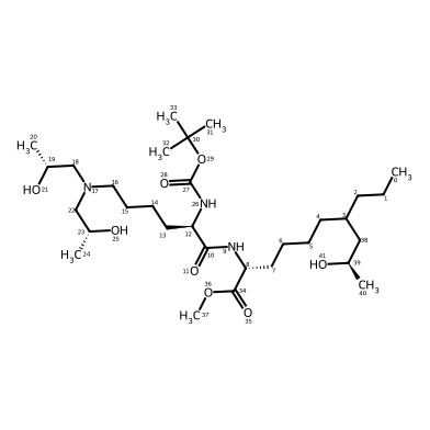 CCCC(CCCC[C@@H](NC(=O)[C@@H](CCCCN(C[C@@H](C)O)C[C@@H](C)O)NC(=O)OC(C)(C)C)C(=O)OC)C[C@@H](C)O